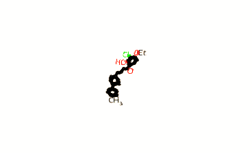 CCOc1ccc(C(=O)CCCc2ccc(-c3ccc(C)cc3)cc2)c(O)c1Cl